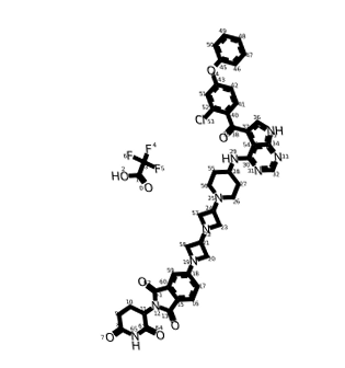 O=C(O)C(F)(F)F.O=C1CCC(N2C(=O)c3ccc(N4CC(N5CC(N6CCC(Nc7ncnc8[nH]cc(C(=O)c9ccc(Oc%10ccccc%10)cc9Cl)c78)CC6)C5)C4)cc3C2=O)C(=O)N1